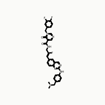 CN(C)Cc1ccc(Nc2ncc3cc(C=C(F)CNC(=O)c4cncn(Cc5ccc(F)c(F)c5)c4=O)ccc3n2)cc1